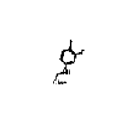 COCNc1ccc(F)c(F)c1